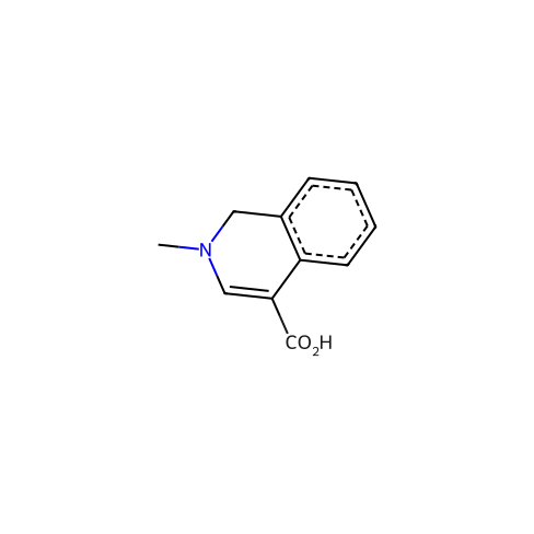 CN1C=C(C(=O)O)c2ccccc2C1